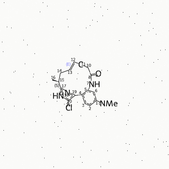 CNc1ccc2c(c1)NC(=O)CC/C=C/C[C@H](C)c1nc-2c(Cl)[nH]1